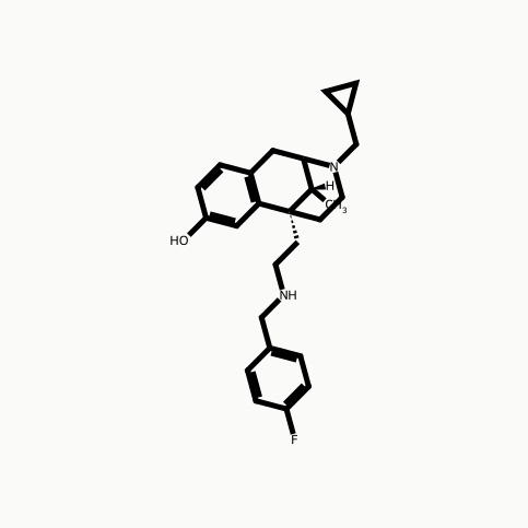 C[C@H]1C2Cc3ccc(O)cc3[C@]1(CCNCc1ccc(F)cc1)CCN2CC1CC1